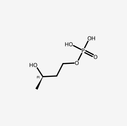 C[C@@H](O)CCOP(=O)(O)O